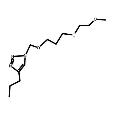 CCCc1cn(COCCCOCCOC)nn1